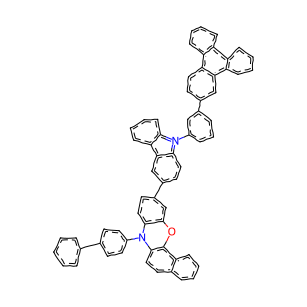 c1ccc(-c2ccc(N3c4ccc(-c5ccc6c(c5)c5ccccc5n6-c5cccc(-c6ccc7c8ccccc8c8ccccc8c7c6)c5)cc4Oc4c3ccc3ccccc43)cc2)cc1